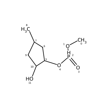 CO[PH](=O)OC1CC(C)CC1O